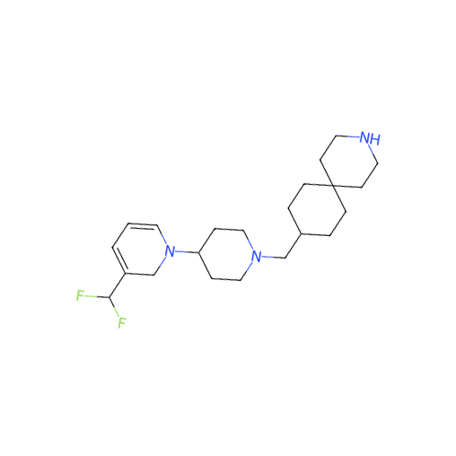 FC(F)C1=CC=CN(C2CCN(CC3CCC4(CCNCC4)CC3)CC2)C1